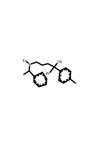 CCN(CCCC(C#N)(c1ccc(F)cc1)C(C)C)C(C)c1ccccc1